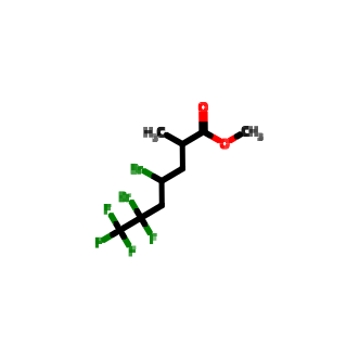 COC(=O)C(C)CC(Br)CC(F)(Br)C(F)(F)F